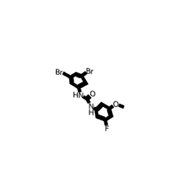 COc1cc(F)cc(NC(=O)Nc2cc(Br)cc(Br)c2)c1